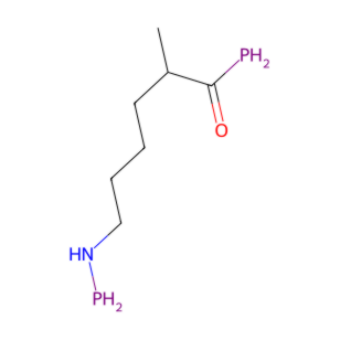 CC(CCCCNP)C(=O)P